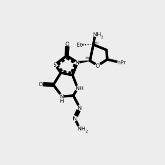 CCCC1C[C@@](N)(CC)[C@H](n2c3c(sc2=O)C(=O)NC(N=NN)N3)O1